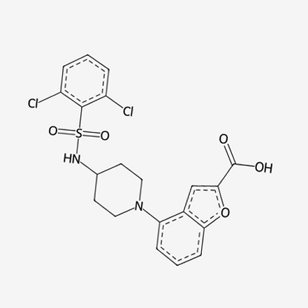 O=C(O)c1cc2c(N3CCC(NS(=O)(=O)c4c(Cl)cccc4Cl)CC3)cccc2o1